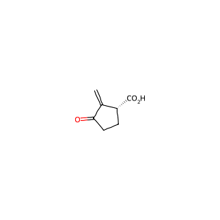 C=C1C(=O)CC[C@H]1C(=O)O